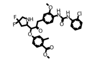 COC(=O)c1ccc(OC(C(=O)Cc2ccc(NC(=O)Nc3ccccc3Cl)c(OC)c2)C2CC(F)(F)CN2)cc1C